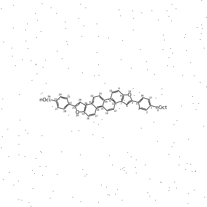 CCCCCCCCc1ccc(-c2cc3c(ccc4c3ccc3c5ccc6oc(-c7ccc(CCCCCCCC)cc7)cc6c5ccc43)o2)cc1